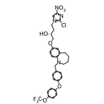 O=[N+]([O-])c1cn(CC[C@@H](O)COc2ccc3c(c2)CCCCN3Cc2ccc(Oc3ccc(OC(F)(F)F)cc3)cc2)c(Cl)n1